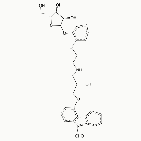 O=Cn1c2ccccc2c2c(OCC(O)CNCCOc3ccccc3OC3O[C@H](CO)[C@@H](O)[C@H]3O)cccc21